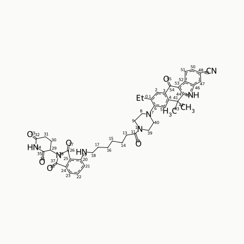 CCc1cc2c(cc1N1CCN(C(=O)CCCCCCNc3cccc4c3C(=O)N(C3CCC(=O)NC3=O)C4=O)CC1)C(C)(C)c1[nH]c3cc(C#N)ccc3c1C2=O